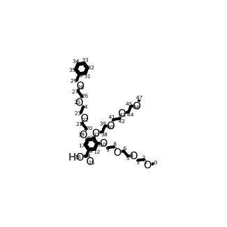 COCCOCCOCCOc1cc(C(=O)O)cc(OCCOCCOCCOCc2ccccc2)c1OCCOCCOCCOC